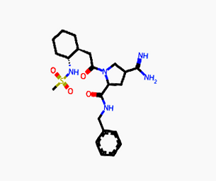 CS(=O)(=O)N[C@@H]1CCCC[C@H]1CC(=O)N1CC(C(=N)N)CC1C(=O)NCc1ccccc1